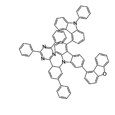 C1=CC(c2nc(-c3ccccc3)nc(-c3ccccc3)n2)C(n2c3cc(-c4cccc5oc6ccccc6c45)ccc3c3c(-c4cccc5c4c4ccccc4n5-c4ccccc4)cccc32)C=C1c1ccccc1